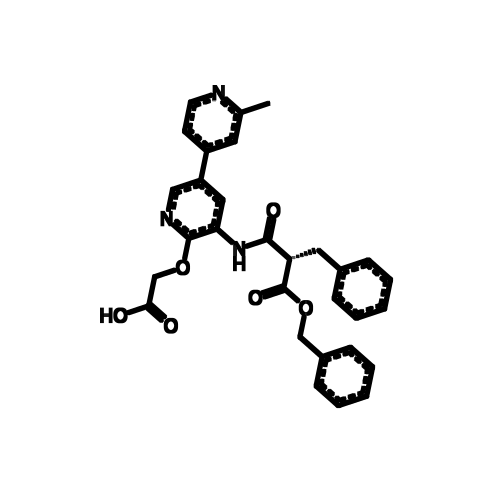 Cc1cc(-c2cnc(OCC(=O)O)c(NC(=O)[C@H](Cc3ccccc3)C(=O)OCc3ccccc3)c2)ccn1